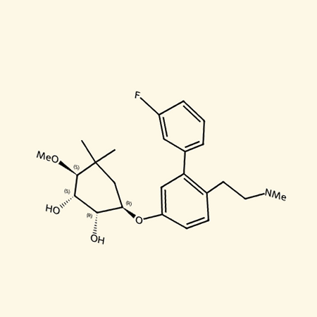 CNCCc1ccc(O[C@@H]2CC(C)(C)[C@H](OC)[C@@H](O)[C@H]2O)cc1-c1cccc(F)c1